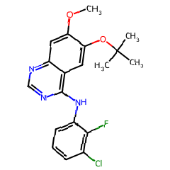 COc1cc2ncnc(Nc3cccc(Cl)c3F)c2cc1OC(C)(C)C